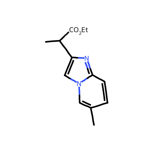 CCOC(=O)C(C)c1cn2cc(C)ccc2n1